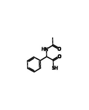 CC(=O)NC(C(=O)S)c1ccccc1